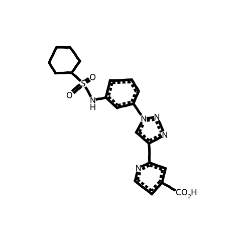 O=C(O)c1ccnc(-c2cn(-c3cccc(NS(=O)(=O)C4CCCCC4)c3)nn2)c1